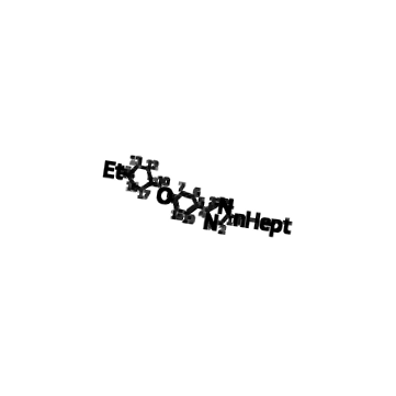 CCCCCCCc1cnc(-c2ccc(OCC3CCC(CC)CC3)cc2)cn1